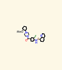 COc1ccccc1N1CCN(C(=O)c2ccc(NSc3cccc4cccnc34)c(F)c2)CC1